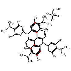 CC(C)c1cc(P(c2cc(C(C)C)c(N(C)C)c(C(C)C)c2)c2ccc3ccccc3c2-c2c(P(c3cc(C(C)C)c(N(C)C)c(C(C)C)c3)c3cc(C(C)C)c(N(C)C)c(C(C)C)c3)ccc3ccccc23)cc(C(C)C)c1N(C)C.[O-][Cl+3]([O-])([O-])[O-].[Rh+]